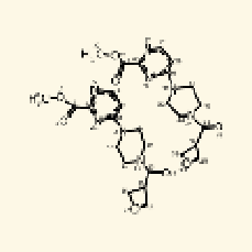 COC(=O)c1nccc(N2CCN(C(=O)C3COC3)CC2)n1.COC(=O)c1nccc(N2CCN(C(=O)C3COC3)CC2)n1